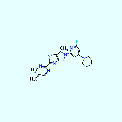 C=C/C=N\C(=N/C)c1ncc2c(n1)CN(c1cc(N3CCCCC3)cc(F)n1)C2C